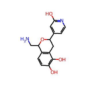 NCC1OC(c2ccnc(O)c2)Cc2c1ccc(O)c2O